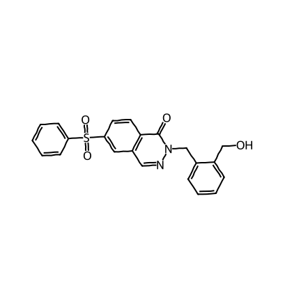 O=c1c2ccc(S(=O)(=O)c3ccccc3)cc2cnn1Cc1ccccc1CO